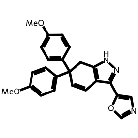 COc1ccc(C2(c3ccc(OC)cc3)C=Cc3c(-c4cnco4)n[nH]c3C2)cc1